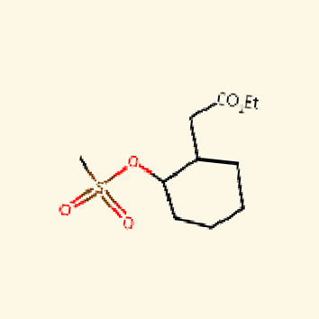 CCOC(=O)CC1CCCCC1OS(C)(=O)=O